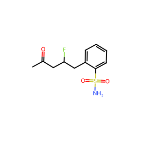 CC(=O)CC(F)Cc1ccccc1S(N)(=O)=O